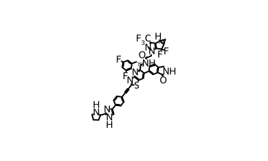 O=C(Cn1nc(C(F)(F)F)c2c1C(F)(F)C1C[C@H]21)N[C@@H](Cc1cc(F)cc(F)c1)c1nc2nc(C#Cc3ccc(-c4c[nH]c(C5CCCN5)n4)cc3)sc2cc1-c1ccc2c(c1)C(=O)NC2